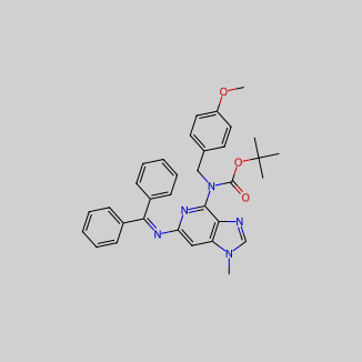 COc1ccc(CN(C(=O)OC(C)(C)C)c2nc(N=C(c3ccccc3)c3ccccc3)cc3c2ncn3C)cc1